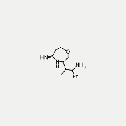 CCC(N)C(C)C1COCCC(=N)N1